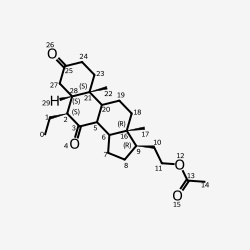 CC[C@@H]1C(=O)C2C3CC[C@H](CCOC(C)=O)[C@@]3(C)CCC2[C@@]2(C)CCC(=O)C[C@@H]12